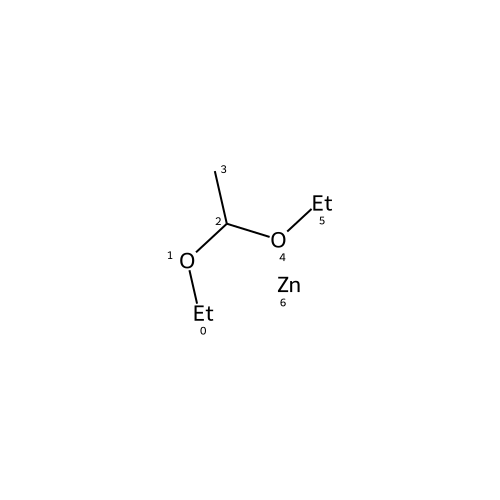 CCOC(C)OCC.[Zn]